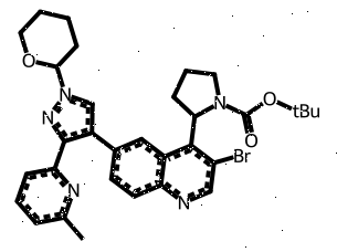 Cc1cccc(-c2nn(C3CCCCO3)cc2-c2ccc3ncc(Br)c(C4CCCN4C(=O)OC(C)(C)C)c3c2)n1